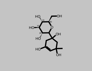 CC1(O)C=C(O)CC(O)(C2O[C@H](CO)[C@@H](O)[C@H](O)[C@H]2O)C1